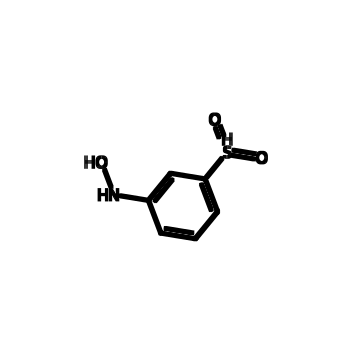 O=[SH](=O)c1cccc(NO)c1